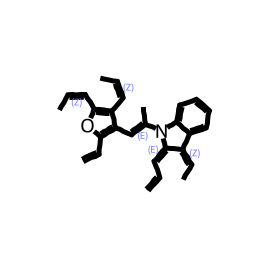 C=C/C=c1\c(=C/C)c2ccccc2n1/C(C)=C/c1c(C=C)oc(/C=C\C)c1/C=C\C